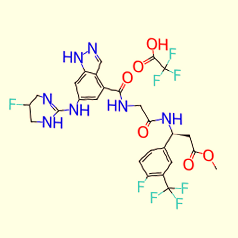 COC(=O)C[C@H](NC(=O)CNC(=O)c1cc(NC2=NCC(F)CN2)cc2[nH]ncc12)c1ccc(F)c(C(F)(F)F)c1.O=C(O)C(F)(F)F